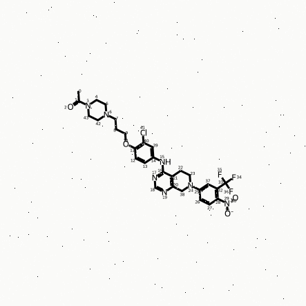 CC(=O)N1CCN(CCCOc2ccc(Nc3ncnc4c3CCN(c3ccc([N+](=O)[O-])c(C(F)(F)F)c3)C4)cc2Cl)CC1